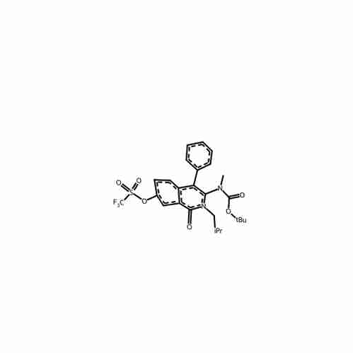 CC(C)Cn1c(N(C)C(=O)OC(C)(C)C)c(-c2ccccc2)c2ccc(OS(=O)(=O)C(F)(F)F)cc2c1=O